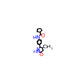 CC1CC(=O)NN=C1c1ccc(NC(=O)C2CCCC2)cc1